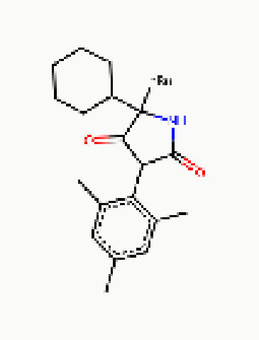 CCCCC1(C2CCCCC2)NC(=O)C(c2c(C)cc(C)cc2C)C1=O